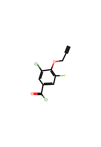 C#CCOc1c(F)cc(C(=O)Cl)cc1Cl